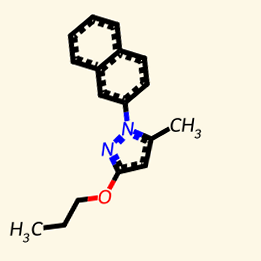 CCCOc1cc(C)n(-c2ccc3ccccc3c2)n1